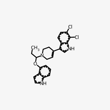 CCC(Oc1cccc2[nH]ccc12)N1CC=C(c2c[nH]c3c(Cl)c(Cl)ccc23)CC1